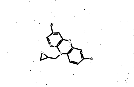 Brc1ccc2c(c1)Oc1cc(Br)cnc1N2CC1CO1